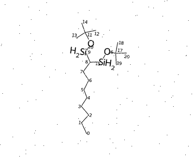 CCCCCCCCC([SiH2]OC(C)(C)C)[SiH2]OC(C)(C)C